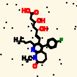 CCCc1nc2c(c(-c3ccc(F)cc3)c1/C=C/[C@@H](O)C[C@@H](O)CC(=O)O)CCCC(=O)N2C